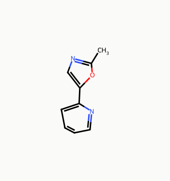 Cc1ncc(-c2ccccn2)o1